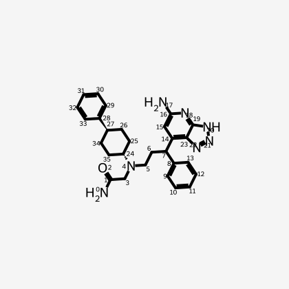 NC(=O)CN(CCC(c1ccccc1)c1cc(N)nc2[nH]nnc12)[C@H]1CC[C@H](c2ccccc2)CC1